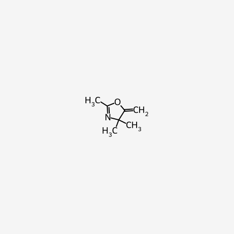 C=C1OC(C)=NC1(C)C